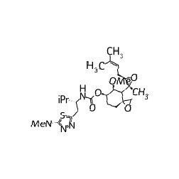 CNc1nnc(C[C@@H](NC(=O)O[C@@H]2CC[C@]3(CO3)C([C@@]3(C)O[C@@H]3CC=C(C)C)[C@@H]2OC)C(C)C)s1